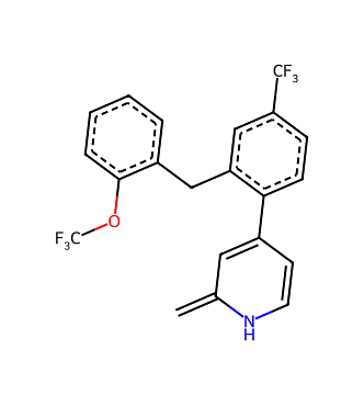 C=C1C=C(c2ccc(C(F)(F)F)cc2Cc2ccccc2OC(F)(F)F)C=CN1